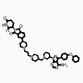 Nc1ncnc2c1c(-c1ccc(Oc3ccccc3)cc1)nn2C1CCCN(CC2CCN(CCCN3CCC(c4ccc5c(c4)C(=O)N(C4CCC(=O)NC4=O)C5=O)CC3)CC2)C1